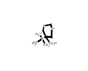 C[N+](C)(C)C1(C(=O)O)COCOC1